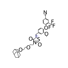 COc1cc(/C=C2\SC(=O)N(CCOCCOC34CC5CC(CC(C5)C3)C4)C2=O)ccc1Oc1ccc(C#N)cc1C(F)(F)F